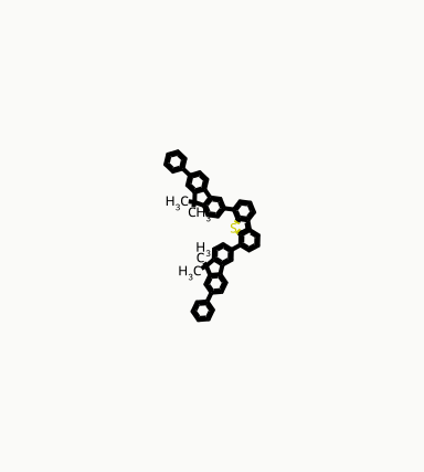 CC1(C)c2ccc(-c3cccc4c3sc3c(-c5ccc6c(c5)-c5ccc(-c7ccccc7)cc5C6(C)C)cccc34)cc2-c2ccc(-c3ccccc3)cc21